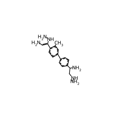 Cc1cc(-c2ccc(C(N)CNN)cc2)ccc1/C(=C/N)NN